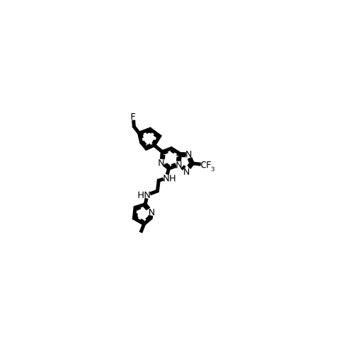 Cc1ccc(NCCNc2nc(-c3ccc(CF)cc3)cc3nc(C(F)(F)F)nn23)nc1